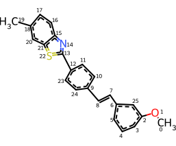 COc1cccc(/C=C/c2ccc(-c3nc4ccc(C)cc4s3)cc2)c1